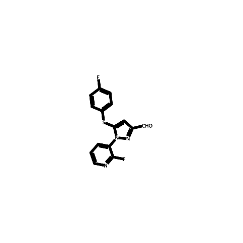 O=Cc1cc(Sc2ccc(F)cc2)n(-c2cccnc2F)n1